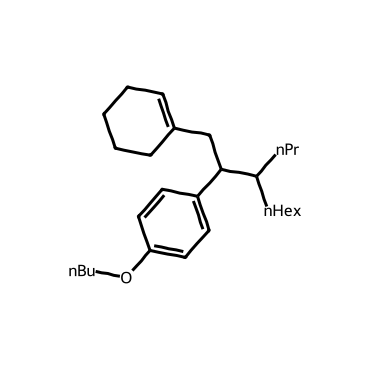 CCCCCCC(CCC)C(CC1=CCCCC1)c1ccc(OCCCC)cc1